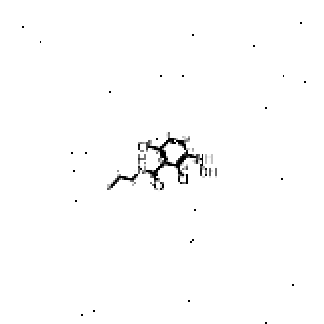 CCCNC(=O)c1c(Cl)ccc(NO)c1Cl